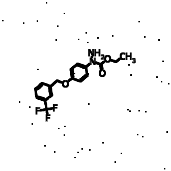 CCOC(=O)N(N)c1ccc(OCc2cccc(C(F)(F)F)c2)cc1